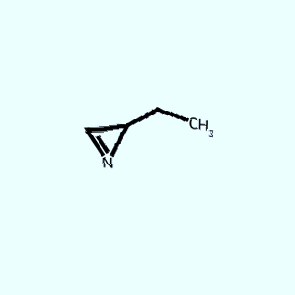 CCC1C=N1